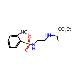 CCOC(=O)[C@H](C)NCCNS(=O)(=O)c1ccccc1[N+](=O)[O-]